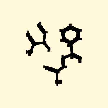 C=CC(C)C(=O)O.O=C(O)C=CC(=O)c1ccccc1